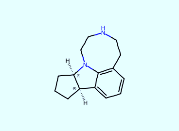 c1cc2c3c(c1)[C@H]1CCC[C@H]1N3CCNCC2